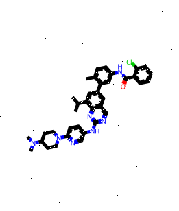 Cc1ccc(NC(=O)c2ccccc2Cl)cc1-c1cc(C(C)C)c2nc(Nc3ccc(N4CCC(N(C)C)CC4)nc3)ncc2c1